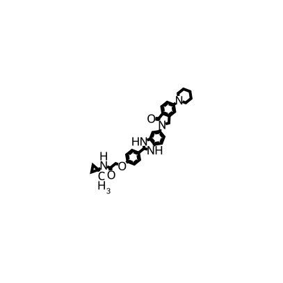 CC1(NC(=O)COc2ccc(C3Nc4ccc(N5Cc6cc(N7CCCCC7)ccc6C5=O)cc4N3)cc2)CC1